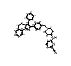 N#Cc1nccc(NC2CCN(Cc3ccc(-c4nc5n(c4-c4ccccc4)CCc4ccncc4-5)cc3)CC2)n1